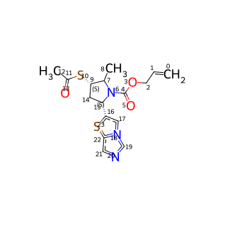 C=CCOC(=O)N1C(C)[C@@H](SC(C)=O)C[C@H]1c1cn2cncc2s1